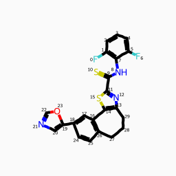 Fc1cccc(F)c1NC(=S)c1nc2c(s1)-c1cc(-c3cnco3)ccc1CCC2